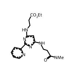 CCOC(=O)CCNc1cc(NCCC(=O)NC)nc(-c2ccccn2)n1